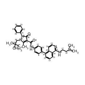 Cc1c(C(=O)Nc2ccc(-c3cccc4c(NCCN(C)C)nccc34)cc2)c(=O)n(-c2ccccc2)n1CC(C)(C)O